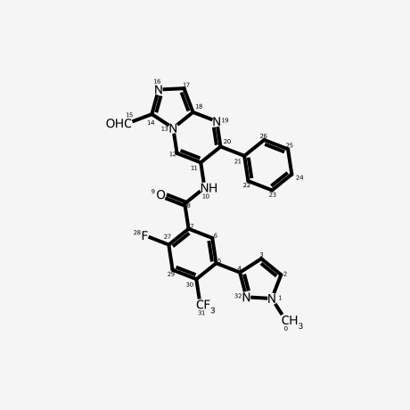 Cn1ccc(-c2cc(C(=O)Nc3cn4c(C=O)ncc4nc3-c3ccccc3)c(F)cc2C(F)(F)F)n1